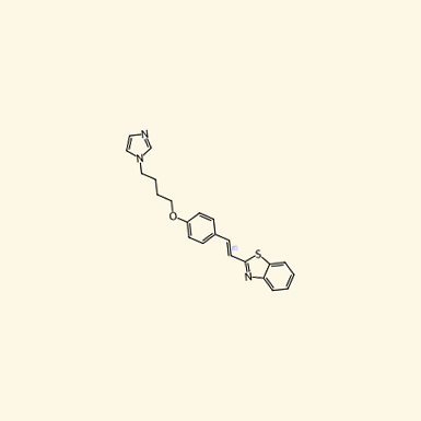 C(=C\c1nc2ccccc2s1)/c1ccc(OCCCCn2ccnc2)cc1